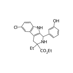 CCOC(=O)C1(CC)Cc2c([nH]c3ccc(Cl)cc23)C(c2cccc(O)c2)N1